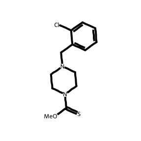 COC(=S)N1CCN(Cc2ccccc2Cl)CC1